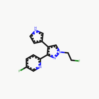 FCCn1cc(-c2cc[nH]c2)c(-c2ccc(F)cn2)n1